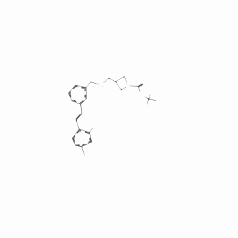 CC(C)(C)OC(=O)N1CC(CNCc2cccc(C=Cc3ccc(Cl)cc3Br)c2)C1